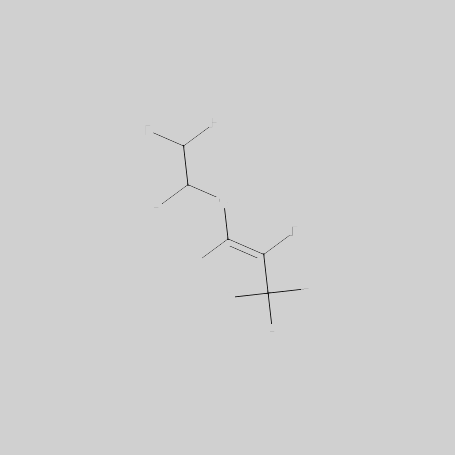 FC(OC(F)C(F)F)=C(F)C(F)(F)F